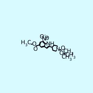 CCOC(=O)c1cc([N+](=O)[O-])c2[nH]c(C3CCN(C(=O)OC(C)(C)C)CC3)cc2c1